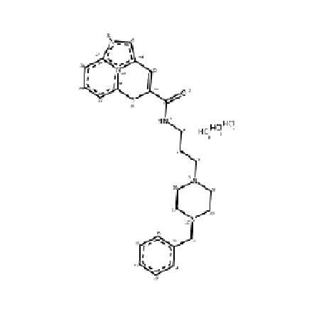 Cl.Cl.Cl.O=C(NCCCN1CCN(Cc2ccccc2)CC1)C1=Cc2cnc3cccc(n23)S1